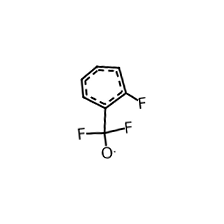 [O]C(F)(F)c1ccccc1F